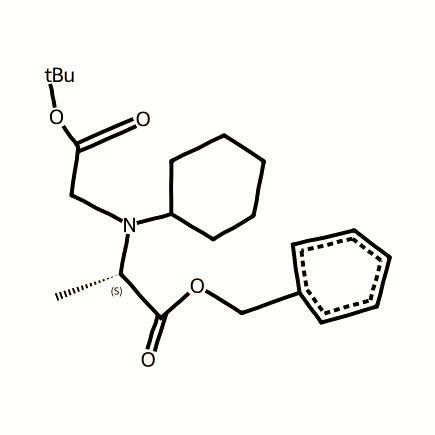 C[C@@H](C(=O)OCc1ccccc1)N(CC(=O)OC(C)(C)C)C1CCCCC1